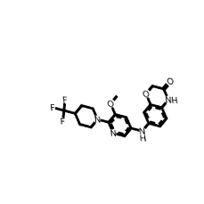 COc1cc(Nc2ccc3c(c2)OCC(=O)N3)cnc1N1CCC(C(F)(F)F)CC1